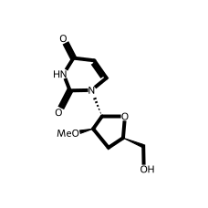 CO[C@@H]1C[C@H](CO)O[C@H]1n1ccc(=O)[nH]c1=O